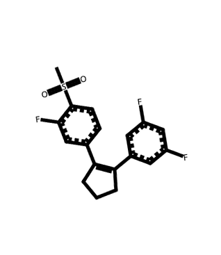 CS(=O)(=O)c1ccc(C2=C(c3cc(F)cc(F)c3)CCC2)cc1F